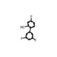 N#Cc1cc(F)ccc1-c1cc(F)[c]c(F)c1